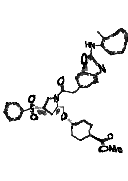 COC(=O)[C@H]1CC[C@H](OC[C@@H]2C[C@H](S(=O)(=O)c3ccccc3)CN2C(=O)Cc2ccc3nc(Nc4ccccc4C)oc3c2)CC1